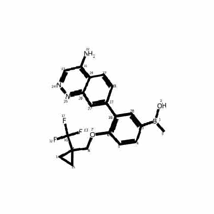 CB(O)c1ccc(OCC2(C(F)(F)F)CC2)c(-c2ccc3c(N)cnnc3c2)c1